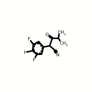 CC(C)C(=O)C(C#N)c1cc(F)c(F)c(F)c1